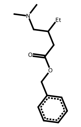 CCC(CC(=O)OCc1ccccc1)CN(C)C